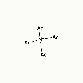 CC(=O)[N+](C(C)=O)(C(C)=O)C(C)=O